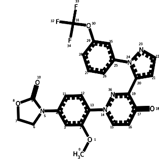 COc1cc(N2CCOC2=O)ccc1-n1ccc(=O)c(-c2ccnn2-c2cccc(OC(F)(F)F)c2)n1